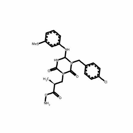 CSc1cccc(NC2NC(=O)N(C[C@H](C)C(=O)ON)C(=O)N2Cc2ccc(Cl)cc2)c1